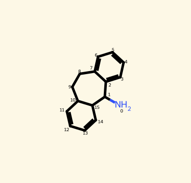 NC1c2ccccc2CCC2C=CC=CC21